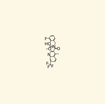 COc1nc2cc(C(F)(F)F)ccc2c(C)c1C(=O)NCc1cccc(F)c1O